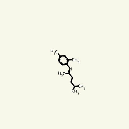 C/C(CCC(C)C)=N\c1ccc(C)cc1C